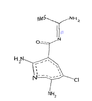 CS/C(N)=N\C(=O)c1cc(Cl)c(N)nc1N